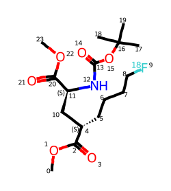 COC(=O)[C@@H](CCCC[18F])C[C@H](NC(=O)OC(C)(C)C)C(=O)OC